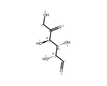 O=C[C@H](O)[C@@H](O)[C@@H](O)C(=O)CO